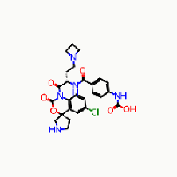 O=C(O)Nc1ccc(C(=O)N[C@@H](CCN2CCC2)C(=O)N2C(=O)O[C@]3(CCNC3)c3cc(Cl)ccc32)cc1